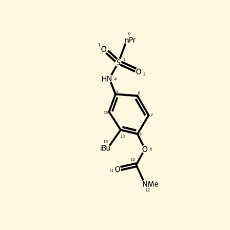 CCCS(=O)(=O)Nc1ccc(OC(=O)NC)c(C(C)CC)c1